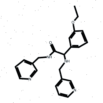 CCOc1cccc(C(NCc2cccnc2)C(=O)NCc2cccnc2)c1